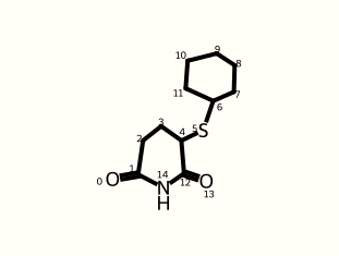 O=C1CCC(SC2CCCCC2)C(=O)N1